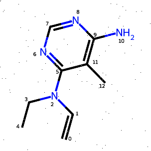 C=CN(CC)c1ncnc(N)c1C